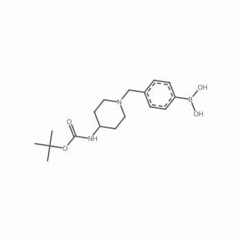 CC(C)(C)OC(=O)NC1CCN(Cc2ccc(B(O)O)cc2)CC1